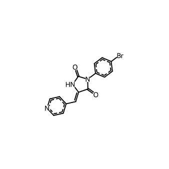 O=C1N/C(=C\c2ccncc2)C(=O)N1c1ccc(Br)cc1